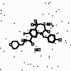 Cl.N[C@H]1CS(=O)(=O)c2cc(F)c(C(=O)NCC3CCOCC3)cc2N(Cc2ccc(Cl)cc2)C1=O